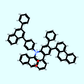 c1ccc(-c2cc(-c3ccc(N(c4cc(-c5ccccc5)c(-c5cccc6c5ccc5ccccc56)cc4-c4ccccc4)c4cccc5ccccc45)cc3)c3ccccc3c2)cc1